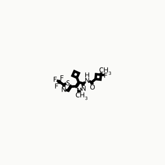 Cn1nc(NC(=O)C2CC(C)(F)C2)c(C2CCC2)c1-c1cnc(C(F)(F)F)s1